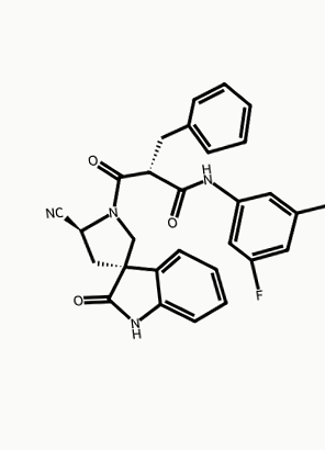 N#C[C@@H]1C[C@@]2(CN1C(=O)[C@H](Cc1ccccc1)C(=O)Nc1cc(F)cc(F)c1)C(=O)Nc1ccccc12